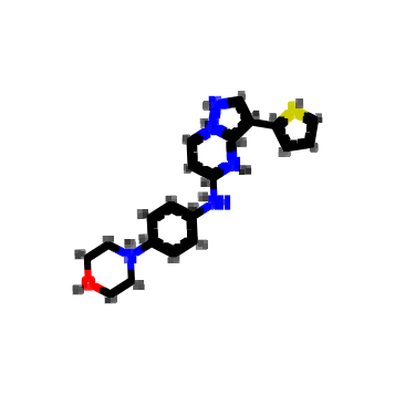 c1csc(-c2cnn3ccc(Nc4ccc(N5CCOCC5)cc4)nc23)c1